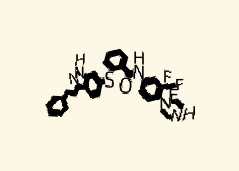 O=C(Nc1ccc(N2CCNCC2)c(C(F)(F)F)c1)c1ccccc1Sc1ccc2c(C=Cc3ccccc3)n[nH]c2c1